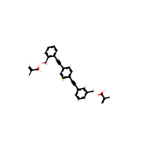 C=C(C)C(=O)OCc1cccc(C#Cc2ccc(C#Cc3ccccc3COC(=O)C(=C)C)cc2F)c1